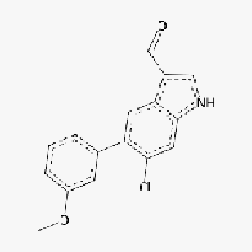 COc1cccc(-c2cc3c(C=O)c[nH]c3cc2Cl)c1